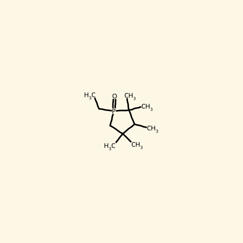 CCP1(=O)CC(C)(C)C(C)C1(C)C